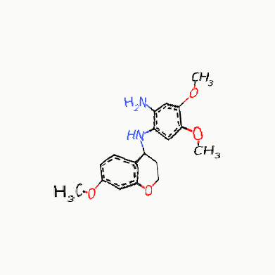 COc1ccc2c(c1)OCCC2Nc1cc(OC)c(OC)cc1N